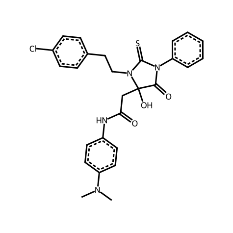 CN(C)c1ccc(NC(=O)CC2(O)C(=O)N(c3ccccc3)C(=S)N2CCc2ccc(Cl)cc2)cc1